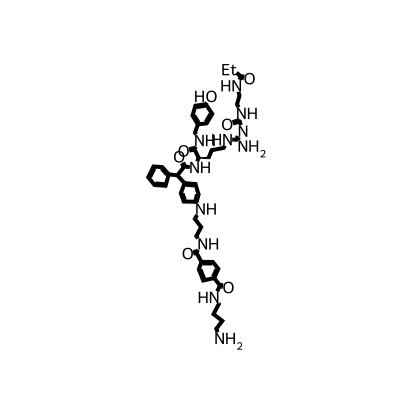 CCC(=O)NCCNC(=O)/N=C(/N)NCCC[C@@H](NC(=O)C(c1ccccc1)c1ccc(NCCCNC(=O)c2ccc(C(=O)NCCCCN)cc2)cc1)C(=O)NCc1ccc(O)cc1